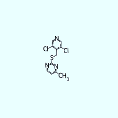 Cc1ccnc(SCc2c(Cl)cncc2Cl)n1